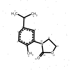 Cc1ccc(C(C)C)cc1N1CCOC1=O